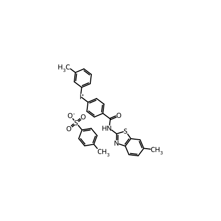 Cc1ccc(S(=O)(=O)[O-])cc1.Cc1cccc([I+]c2ccc(C(=O)Nc3nc4ccc(C)cc4s3)cc2)c1